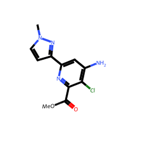 COC(=O)c1nc(-c2ccn(C)n2)cc(N)c1Cl